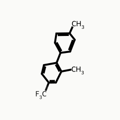 Cc1ccc(-c2ccc(C(F)(F)F)cc2C)cc1